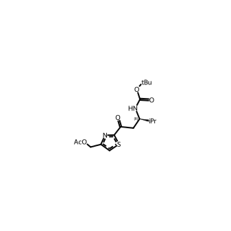 CC(=O)OCc1csc(C(=O)C[C@@H](NC(=O)OC(C)(C)C)C(C)C)n1